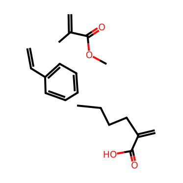 C=C(C)C(=O)OC.C=C(CCCC)C(=O)O.C=Cc1ccccc1